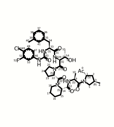 CC(=O)[C@@H]1C[C@@H](C)CN1C(=O)[C@H](C)NC(=O)[C@@H]1CCCCN1C(=O)[C@@H]1CCCN1C(=O)[C@@H](NC(=O)[C@H](Cc1cccc(C)c1)NC(=O)Nc1ccc(Cl)c(F)c1)[C@H](C)O